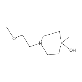 COCCN1CCC(C)(O)CC1